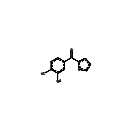 O=C(c1ccc(O)c(O)c1)c1cccs1